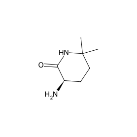 CC1(C)CC[C@@H](N)C(=O)N1